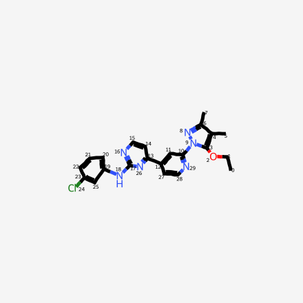 CCOc1c(C)c(C)nn1-c1cc(-c2ccnc(Nc3cccc(Cl)c3)n2)ccn1